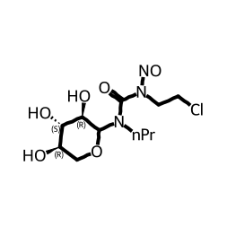 CCCN(C(=O)N(CCCl)N=O)C1OC[C@@H](O)[C@H](O)[C@H]1O